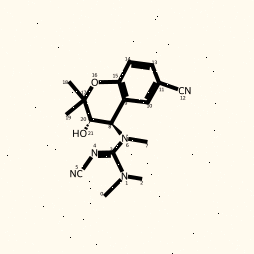 CN(C)C(=NC#N)N(C)[C@@H]1c2cc(C#N)ccc2OC(C)(C)[C@H]1O